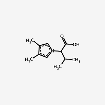 Cc1cn(C(C(=O)O)C(C)C)cc1C